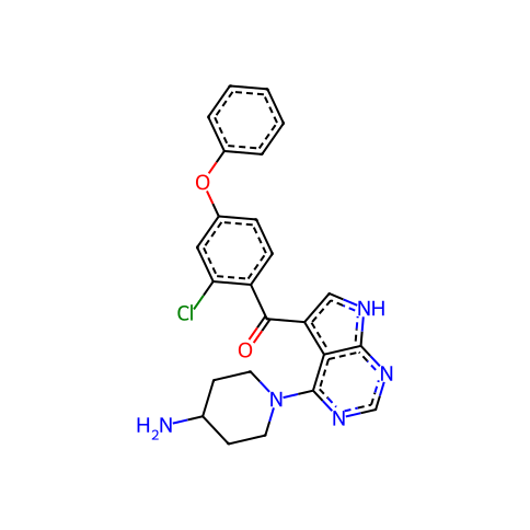 NC1CCN(c2ncnc3[nH]cc(C(=O)c4ccc(Oc5ccccc5)cc4Cl)c23)CC1